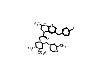 CC1CN(C(=O)CN2C[C@@H](C)N(C(=O)O)C[C@@H]2CN2CCO[C@H](C)C2)c2cc(Cc3ccc(F)cc3)cnc2O1